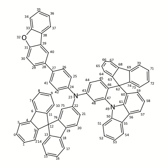 c1ccc2c(c1)-c1ccccc1C21c2ccccc2-c2ccc(N(c3ccc(-c4ccc5oc6ccccc6c5c4)cc3)c3ccc4c(c3)-n3c5ccccc5c5cccc(c53)C43c4ccccc4-c4ccccc43)cc21